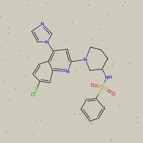 O=S(=O)(NC1CCCN(c2cc(-n3ccnc3)c3ccc(Cl)cc3n2)C1)c1ccccc1